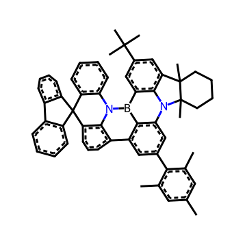 Cc1cc(C)c(-c2cc3c4c(c2)N2c5c(cc(C(C)(C)C)cc5C5(C)CCCCC25C)B4N2c4ccccc4C4(c5ccccc5-c5ccccc54)c4cccc-3c42)c(C)c1